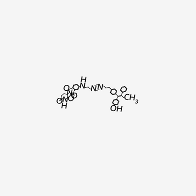 CCC(=C(c1ccc(O)cc1)c1ccc(CCCN2CCN(CCCNc3ccc4c(c3)C(=O)N(C3CCC(=O)NC3=O)C4=O)CC2)cc1)c1ccccc1